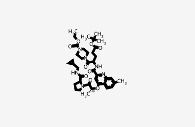 CCOC(=O)N1CCN(C(=O)C(CCC(=O)OC(C)(C)C)NC(=O)c2cc(O[C@H](C)C(=O)N3CCCC3C(=O)NCC3CC3)c3ccc(C)cc3n2)CC1